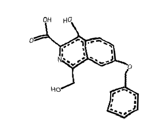 O=C(O)c1nc(CO)c2cc(Oc3ccccc3)ccc2c1O